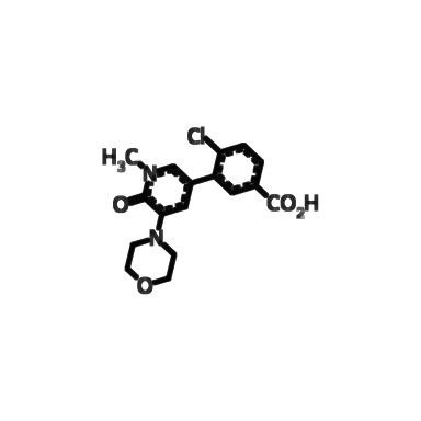 Cn1cc(-c2cc(C(=O)O)ccc2Cl)cc(N2CCOCC2)c1=O